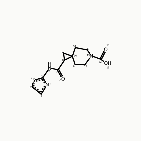 O=C(Nc1nccs1)C1CC12CCN(C(=O)O)CC2